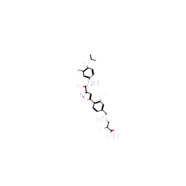 CC(C)Oc1ccc(NC(=O)c2cc(-c3ccc(CNCC(F)C(=O)O)cc3Cl)on2)cc1Cl